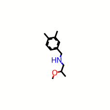 COC(C)CNCc1ccc(C)c(C)c1